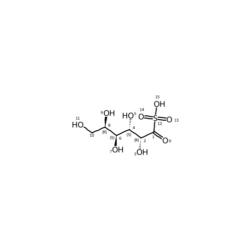 O=C([C@H](O)[C@@H](O)[C@@H](O)[C@H](O)CO)S(=O)(=O)O